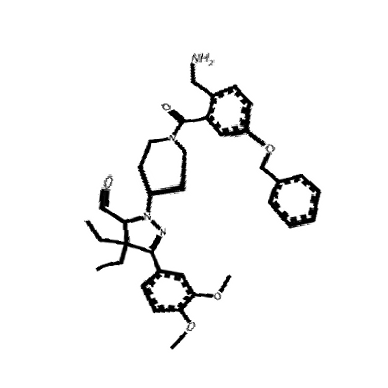 CCC1(CC)C(c2ccc(OC)c(OC)c2)=NN(C2CCN(C(=O)c3cc(OCc4ccccc4)ccc3CN)CC2)C1C=O